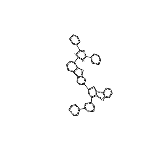 c1ccc(-c2cccc(-c3cc(-c4ccc5c(c4)sc4c(-c6nc(-c7ccccc7)nc(-c7ccccc7)n6)cccc45)cc4c3oc3ccccc34)c2)cc1